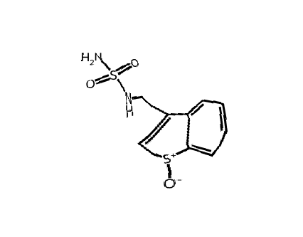 NS(=O)(=O)NCc1c[s+]([O-])c2ccccc12